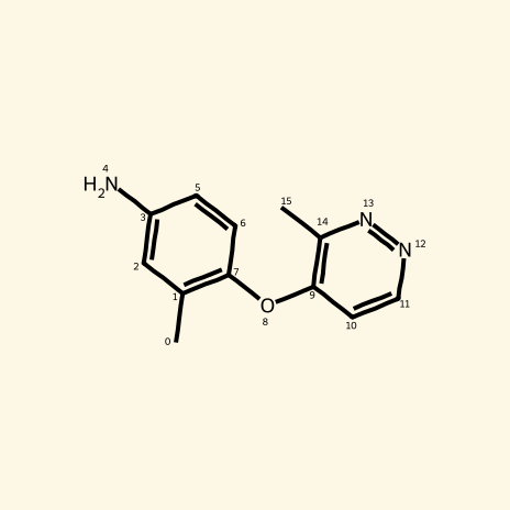 Cc1cc(N)ccc1Oc1ccnnc1C